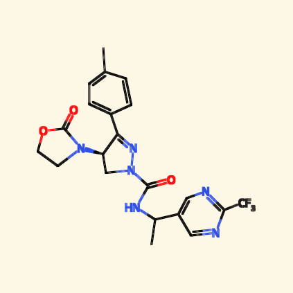 Cc1ccc(C2=NN(C(=O)NC(C)c3cnc(C(F)(F)F)nc3)C[C@H]2N2CCOC2=O)cc1